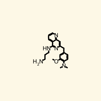 COc1cc(Cc2cc3ncccc3c(NCCCN)n2)ccc1N(C)C